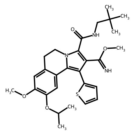 COC(=N)c1c(-c2cccs2)c2n(c1C(=O)NCC(C)(C)C)CCc1cc(OC)c(OC(C)C)cc1-2